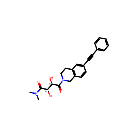 CN(C)C(=O)[C@H](O)[C@@H](O)C(=O)N1CCc2cc(C#Cc3ccccc3)ccc2C1